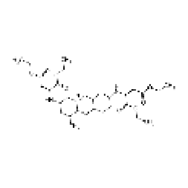 CCOC(=O)C[C@H](NC1CCC(CC2CCC(N[C@@H](CC(=O)OCC)C(=O)OCC)CC2C)C(C)C1)C(=O)OCC